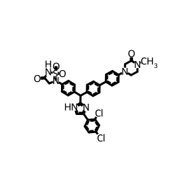 CN1CCN(c2ccc(-c3ccc(C(c4ccc(N5CC(=O)NS5(=O)=O)cc4)c4nc(-c5ccc(Cl)cc5Cl)c[nH]4)cc3)cc2)CC1=O